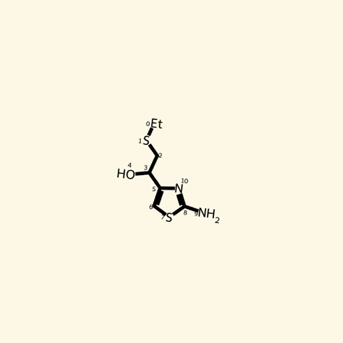 [CH2]CSCC(O)c1csc(N)n1